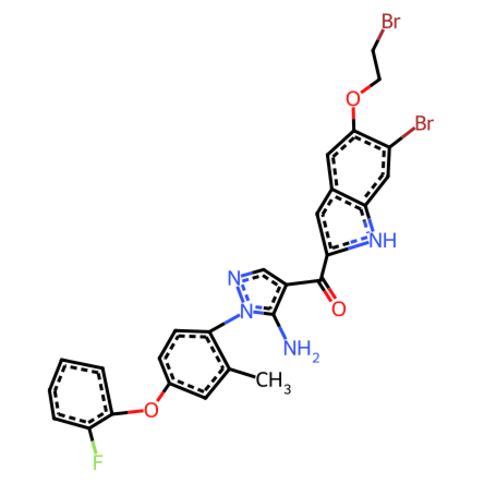 Cc1cc(Oc2ccccc2F)ccc1-n1ncc(C(=O)c2cc3cc(OCCBr)c(Br)cc3[nH]2)c1N